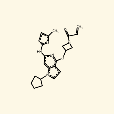 C=CC(=O)N1CC(Oc2nc(Nc3ncc(C)s3)cc3c2ccn3C2CCCC2)C1